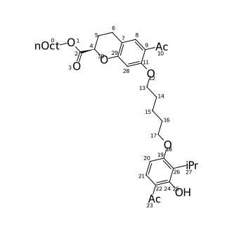 CCCCCCCCOC(=O)[C@H]1CCc2cc(C(C)=O)c(OCCCCCOc3ccc(C(C)=O)c(O)c3C(C)C)cc2O1